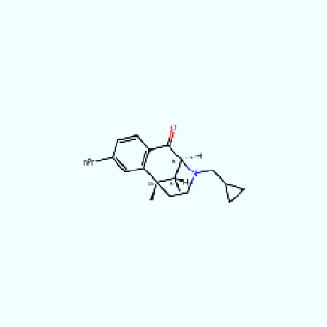 CCCc1ccc2c(c1)[C@@]1(C)CCN(CC3CC3)[C@H](C2=O)[C@@H]1C